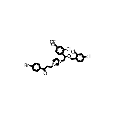 O=C(CC[n+]1ccn(CC(OCc2ccc(Cl)cc2Cl)c2ccc(Cl)cc2Cl)c1)c1ccc(Br)cc1.[Cl-]